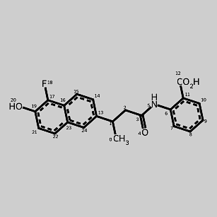 CC(CC(=O)Nc1ccccc1C(=O)O)c1ccc2c(F)c(O)ccc2c1